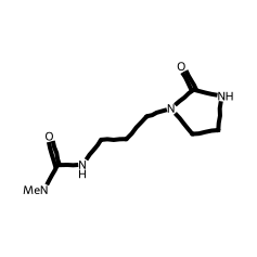 CNC(=O)NCCCN1CCNC1=O